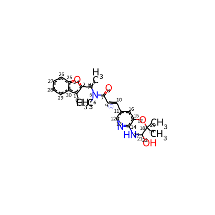 Cc1c([C@@H](C)N(C)C(=O)/C=C/c2cnc3c(c2)OC(C)(C)C(O)N3)oc2ccccc12